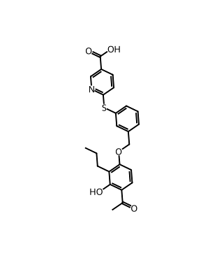 CCCc1c(OCc2cccc(Sc3ccc(C(=O)O)cn3)c2)ccc(C(C)=O)c1O